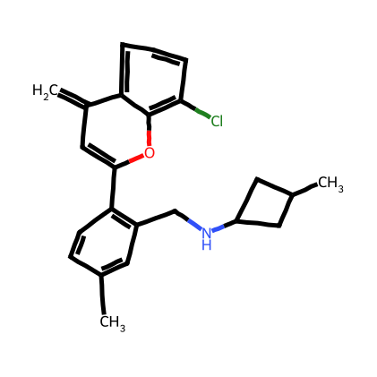 C=C1C=C(c2ccc(C)cc2CNC2CC(C)C2)Oc2c(Cl)cccc21